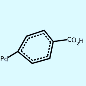 O=C(O)c1cc[c]([Pd])cc1